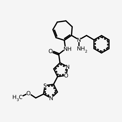 COCc1ncc(-c2cc(C(=O)NC3=C(N(N)Cc4ccccc4)CCCC=C3)no2)s1